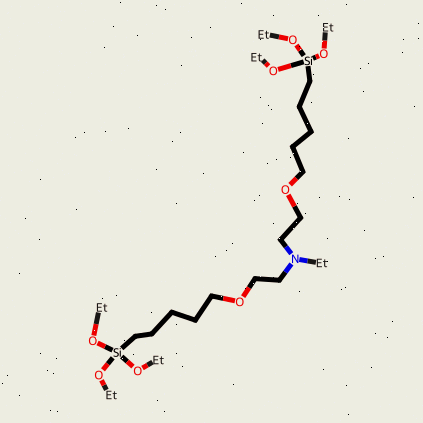 CCO[Si](CCCCCOCCN(CC)CCOCCCCC[Si](OCC)(OCC)OCC)(OCC)OCC